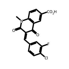 CN1C(=O)/C(=C/c2ccc(Cl)c(F)c2)C(=O)c2cc(C(=O)O)ccc21